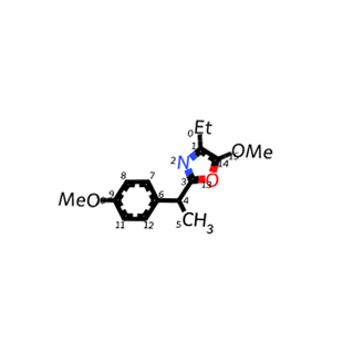 CCc1nc(C(C)c2ccc(OC)cc2)oc1OC